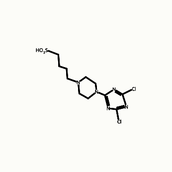 O=S(=O)(O)CCCCN1CCN(c2nc(Cl)nc(Cl)n2)CC1